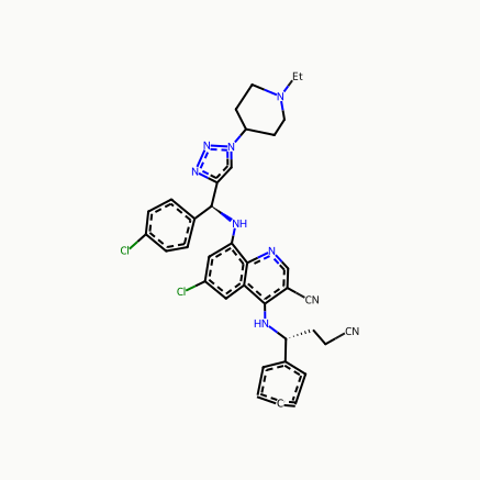 CCN1CCC(n2cc([C@@H](Nc3cc(Cl)cc4c(N[C@H](CCC#N)c5ccccc5)c(C#N)cnc34)c3ccc(Cl)cc3)nn2)CC1